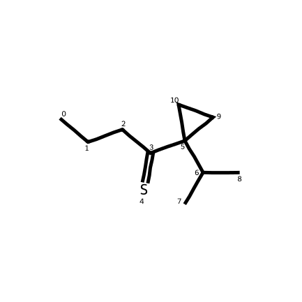 CCCC(=S)C1(C(C)C)CC1